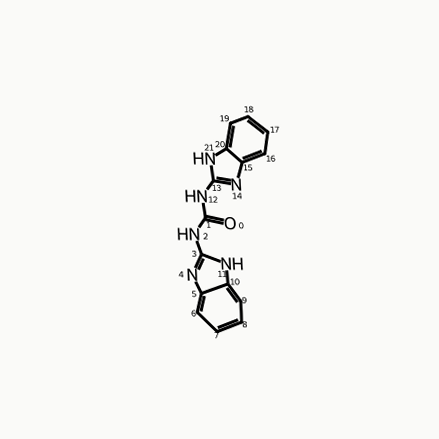 O=C(Nc1nc2ccccc2[nH]1)Nc1nc2ccccc2[nH]1